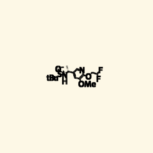 COc1cc([C@@H](C)N[S@+]([O-])C(C)(C)C)cnc1OCC(F)F